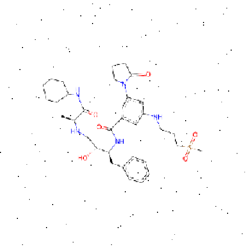 C[C@H](NC[C@@H](O)[C@H](Cc1ccccc1)NC(=O)c1cc(NCCCS(C)(=O)=O)cc(N2CCCC2=O)c1)C(=O)NC1CCCCC1